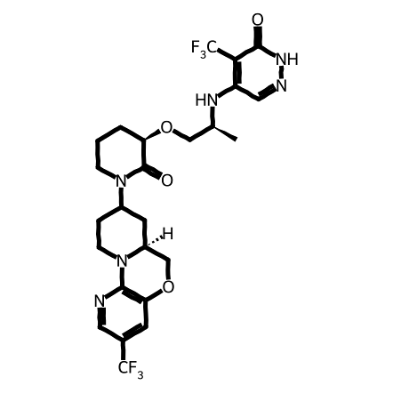 C[C@@H](CO[C@@H]1CCCN(C2CCN3c4ncc(C(F)(F)F)cc4OC[C@@H]3C2)C1=O)Nc1cn[nH]c(=O)c1C(F)(F)F